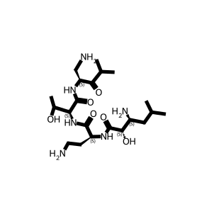 CC(C)C[C@H](N)[C@H](O)C(=O)N[C@@H](CCN)C(=O)N[C@H](C(=O)N[C@@H](CN)C(=O)C(C)C)C(C)O